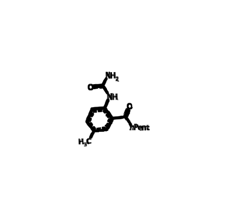 CCCCCC(=O)c1cc(C)ccc1NC(N)=O